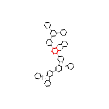 c1ccc(-c2cc(-c3ccccc3)cc(-c3cccc(-c4ccc(-c5ccc6c(c5)c5cc(-c7ccc8c(c7)c7ccccc7n8-c7ccccc7)ccc5n6-c5ccccc5)c5c4C4c6ccccc6C5c5ccccc54)c3)c2)cc1